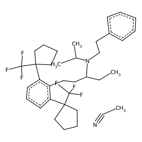 CC#N.CCC(CCc1c(C2(C(F)(F)F)CCCC2)cccc1C1(C(F)(F)F)CCCC1)N(CCc1ccccc1)C(C)C